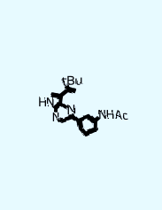 C=C(c1c[nH]c2ncc(-c3cccc(NC(C)=O)c3)nc12)C(C)(C)C